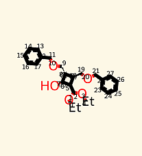 CCOC(OCC)C1[C@H](O)[C@H](COCc2ccccc2)[C@H]1COCc1ccccc1